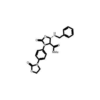 CNC(=S)C1[C@@H](NCc2ccccc2)OC(=O)N1c1ccc(N2CCOC2=O)cc1